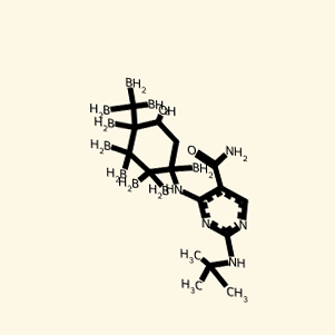 BC(B)(B)C1(B)C(O)CC(B)(Nc2nc(NC(C)(C)C)ncc2C(N)=O)C(B)(B)C1(B)B